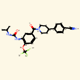 CC(C)NC(=O)Nc1cc(C(=O)N2CCC(c3ccc(C#N)cc3)CC2)ccc1OC(F)(F)F